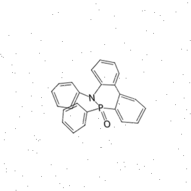 O=P1(c2ccccc2)c2ccccc2-c2ccccc2N1c1ccccc1